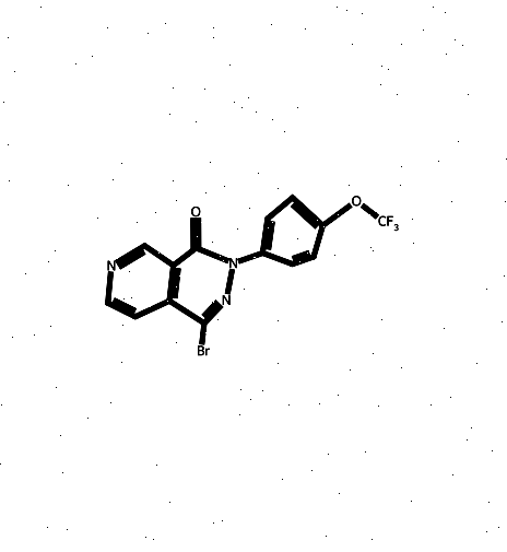 O=c1c2cnccc2c(Br)nn1-c1ccc(OC(F)(F)F)cc1